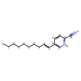 CCCCCCCCC=Cc1ccc(C#N)nc1